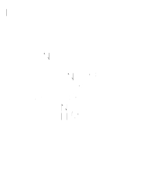 O=CNOC(C#Cc1ccccc1)CS(=O)(=O)N1CCN(c2ccc(F)cc2)CC1